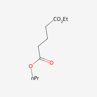 CCCOC(=O)CCCC(=O)OCC